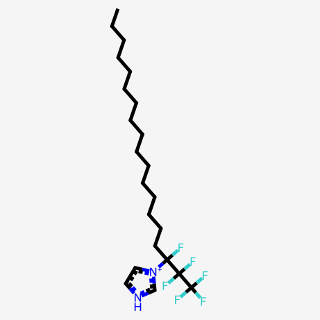 CCCCCCCCCCCCCCCCC(F)([n+]1cc[nH]c1)C(F)(F)C(F)(F)F